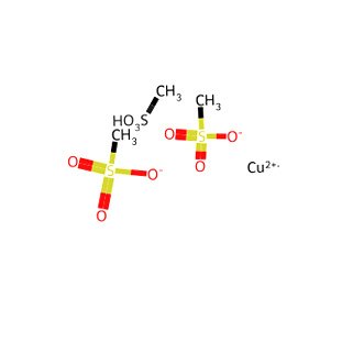 CS(=O)(=O)O.CS(=O)(=O)[O-].CS(=O)(=O)[O-].[Cu+2]